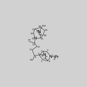 CC(C)N1CC2CCC1CN2C(C)CCC(C)N1CC2CCCC1CN2C